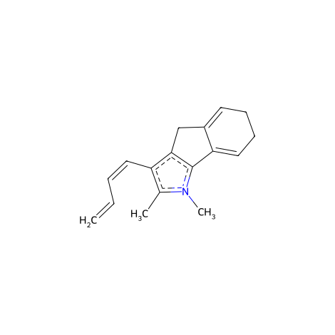 C=C/C=C\c1c2c(n(C)c1C)C1=CCCC=C1C2